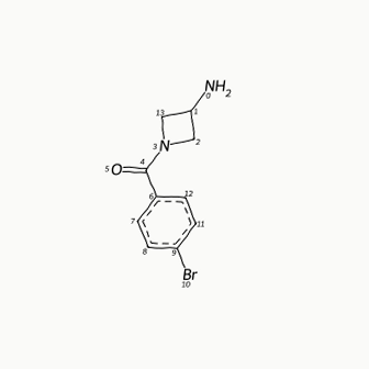 NC1CN(C(=O)c2ccc(Br)cc2)C1